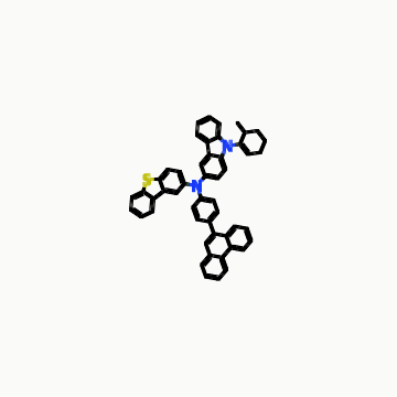 CC1CCCC=C1n1c2ccccc2c2cc(N(c3ccc(-c4cc5ccccc5c5ccccc45)cc3)c3ccc4sc5ccccc5c4c3)ccc21